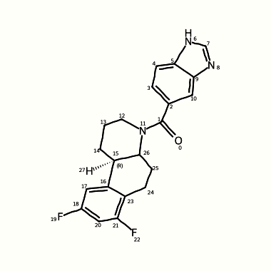 O=C(c1ccc2[nH]cnc2c1)N1CCC[C@@H]2c3cc(F)cc(F)c3CCC21